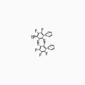 Fc1c(F)c(F)c(-[c-]2cccc2)c(F)c1F.Fc1c(F)c(F)c(-[c-]2cccc2)c(F)c1F.[Ti+2]